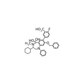 CN1C(C2CCCCC2)CN(c2ccccc2)c2cc(OCc3ccccc3)c(-c3ccc(F)c(C(=O)O)c3)cc2S1(O)O